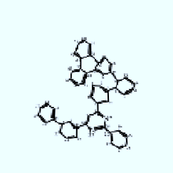 C1=CC(c2cccc(-c3cc(C4=CC(c5ccccc5)CC=C4)nc(-c4ccccc4)n3)c2)C(c2ccc3c4ccccc4c4ccccc4c3c2)C=C1